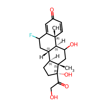 C[C@]12C=CC(=O)C=C1C(F)C[C@@H]1[C@@H]2C(O)C[C@@]2(C)[C@H]1CC[C@]2(O)C(=O)CO